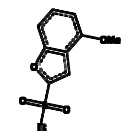 CCS(=O)(=O)c1cc2c(OC)cccc2o1